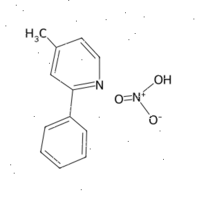 Cc1ccnc(-c2ccccc2)c1.O=[N+]([O-])O